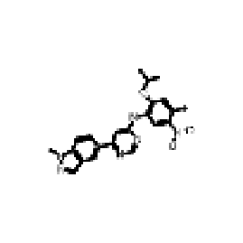 CC(C)Oc1cc(F)c([N+](=O)[O-])cc1Nc1cc(-c2ccc3c(cnn3C)c2)ncn1